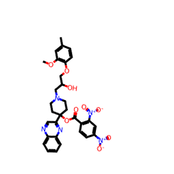 COc1cc(C)ccc1OCC(O)CN1CCC(OC(=O)c2ccc([N+](=O)[O-])cc2[N+](=O)[O-])(c2cnc3ccccc3n2)CC1